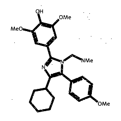 CNCn1c(-c2cc(OC)c(O)c(OC)c2)nc(C2CCCCC2)c1-c1ccc(OC)cc1